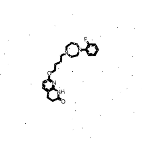 O=C1CCc2ccc(OCCCCN3CCCN(c4ccccc4F)CC3)nc2N1